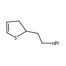 CCCCCC1CC=CS1